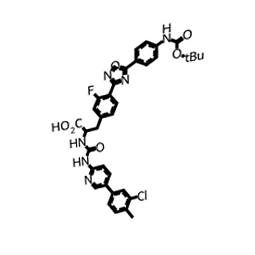 Cc1ccc(-c2ccc(NC(=O)NC(Cc3ccc(-c4noc(-c5ccc(NC(=O)OC(C)(C)C)cc5)n4)c(F)c3)C(=O)O)nc2)cc1Cl